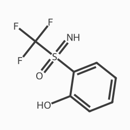 N=S(=O)(c1ccccc1O)C(F)(F)F